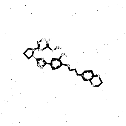 CC(C)(C)OC(=O)N/C(=N\C(=O)O)N1CCC[C@H]1c1nc(-c2ccc(OCCCc3ccc4c(c3)OCCO4)c(C(F)(F)F)c2)no1